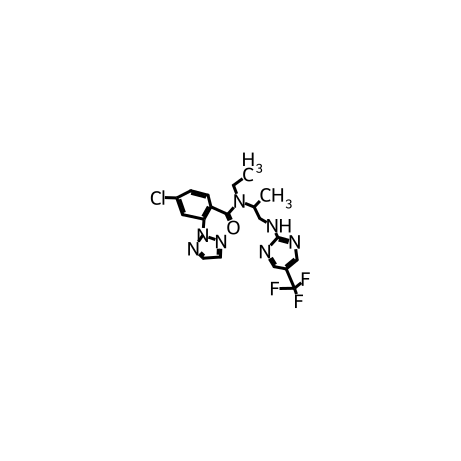 CCN(C(=O)c1ccc(Cl)cc1-n1nccn1)C(C)CNc1ncc(C(F)(F)F)cn1